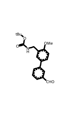 COc1ccc(-c2cccc(C=O)c2)cc1CNC(=O)OC(C)(C)C